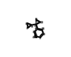 c1cncc(C2(C3CC3)CC2)c1